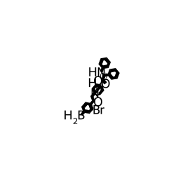 Bc1ccc(C(=O)C[N+]23CCC(CC2)[C@@H](OC(=O)[C@H](Nc2ccccc2)c2ccccc2)C3)c(Br)c1